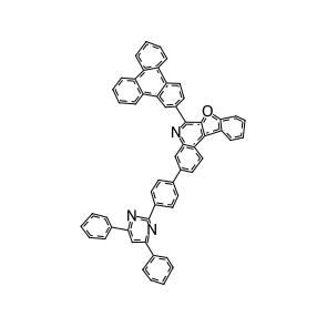 c1ccc(-c2cc(-c3ccccc3)nc(-c3ccc(-c4ccc5c(c4)nc(-c4ccc6c7ccccc7c7ccccc7c6c4)c4oc6ccccc6c45)cc3)n2)cc1